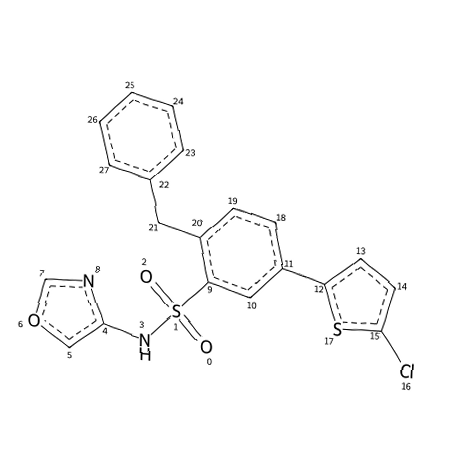 O=S(=O)(Nc1cocn1)c1cc(-c2ccc(Cl)s2)ccc1Cc1ccccc1